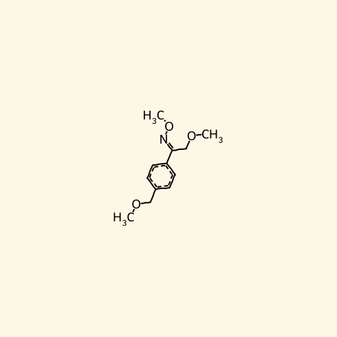 COCC(=NOC)c1ccc(COC)cc1